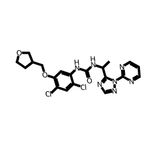 CC(NC(=O)Nc1cc(OCC2CCOC2)c(Cl)cc1Cl)c1ncnn1-c1ncccn1